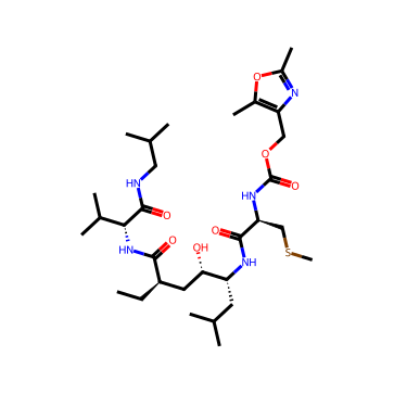 CC[C@H](C[C@H](O)[C@@H](CC(C)C)NC(=O)[C@H](CSC)NC(=O)OCc1nc(C)oc1C)C(=O)N[C@@H](C(=O)NCC(C)C)C(C)C